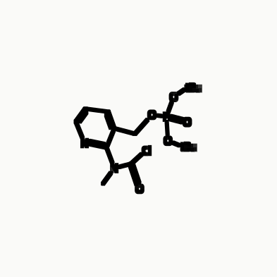 CN(C(=O)Cl)c1ncccc1COP(=O)(OC(C)(C)C)OC(C)(C)C